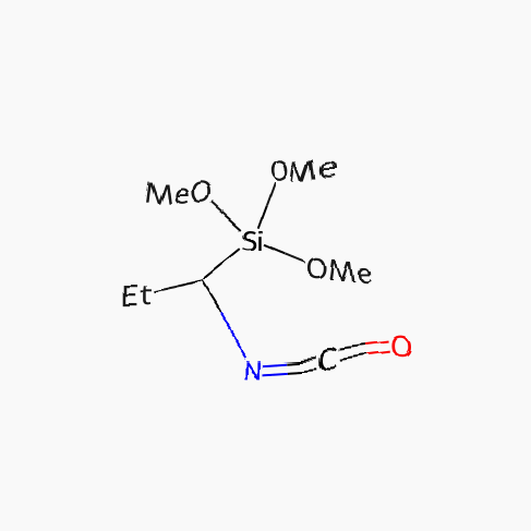 [CH2]CC(N=C=O)[Si](OC)(OC)OC